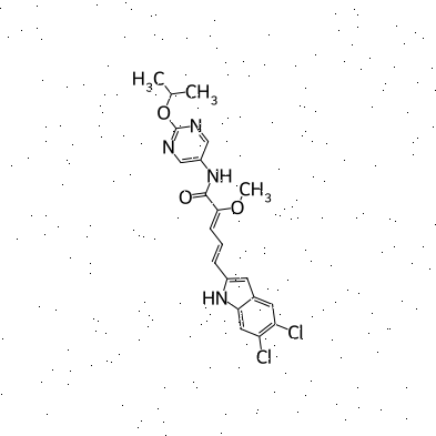 COC(=CC=Cc1cc2cc(Cl)c(Cl)cc2[nH]1)C(=O)Nc1cnc(OC(C)C)nc1